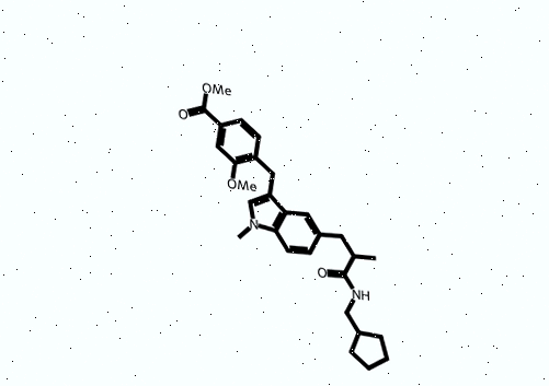 COC(=O)c1ccc(Cc2cn(C)c3ccc(CC(C)C(=O)NCC4CCCC4)cc23)c(OC)c1